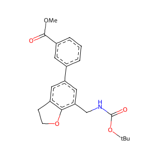 COC(=O)c1cccc(-c2cc3c(c(CNC(=O)OC(C)(C)C)c2)OCC3)c1